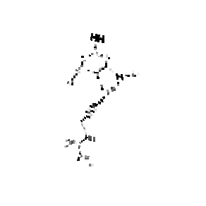 Nc1nc2c(c(C#CCNC(=O)C(F)(F)F)cn2N)c(=O)[nH]1